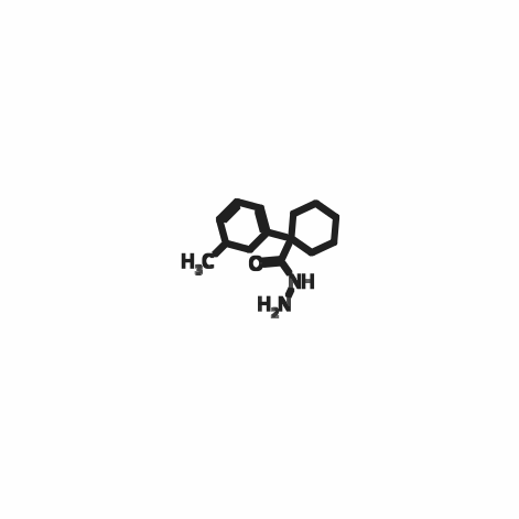 CC1C=CC=C(C2(C(=O)NN)CCCCC2)C1